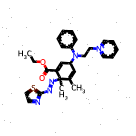 CCOC(=O)C1=CC(N(CC[n+]2ccccc2)c2ccccc2)C=C(C)C1(C)/N=N/c1nccs1